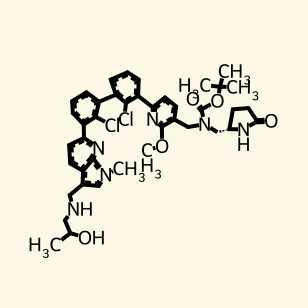 COc1nc(-c2cccc(-c3cccc(-c4ccc5c(CNCC(C)O)cn(C)c5n4)c3Cl)c2Cl)ccc1CN(C[C@@H]1CCC(=O)N1)C(=O)OC(C)(C)C